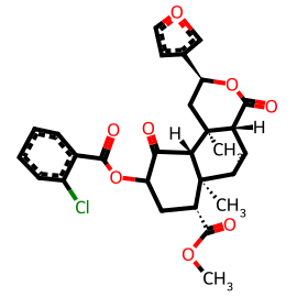 COC(=O)[C@@H]1CC(OC(=O)c2ccccc2Cl)C(=O)[C@H]2[C@@]1(C)CC[C@H]1C(=O)O[C@H](c3ccoc3)C[C@]21C